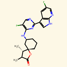 CC1C(=O)O[C@]2(CCC[C@H](Nc3nc(-c4c[nH]c5ncc(F)cc45)ncc3F)C2)[C@H]1C